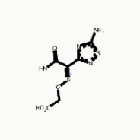 [NH]C(=O)/C(=N\OCC(=O)O)c1nsc(N)n1